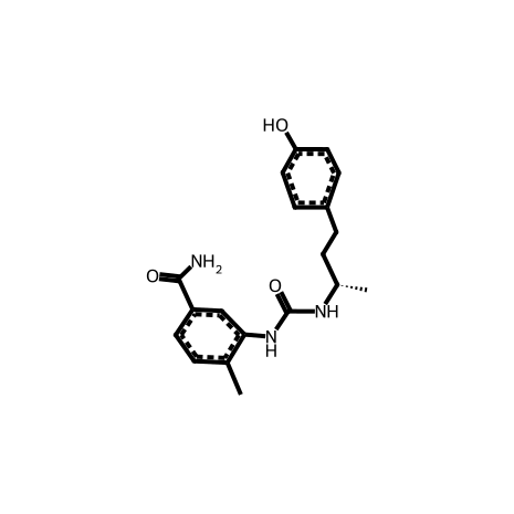 Cc1ccc(C(N)=O)cc1NC(=O)N[C@@H](C)CCc1ccc(O)cc1